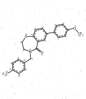 O=C1c2cc(-c3ccc(OC(F)(F)F)cc3)ccc2OCCN1Cc1ccc(C(F)(F)F)nc1